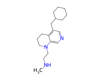 CNCCN1CCCc2c(CC3CCCCC3)cncc21